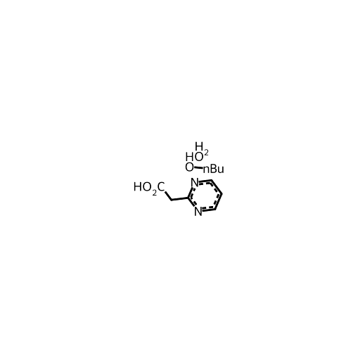 CCCCO.O.O=C(O)Cc1ncccn1